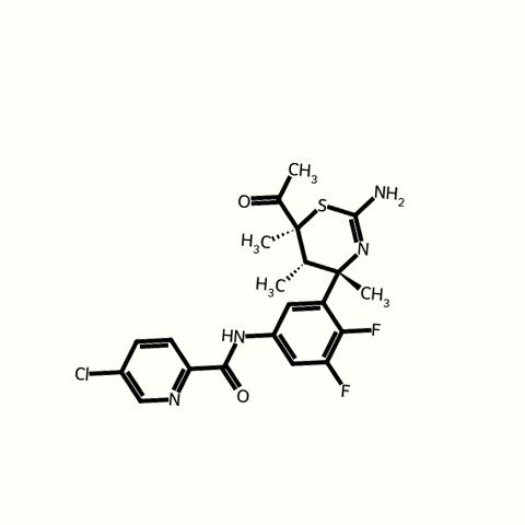 CC(=O)[C@@]1(C)SC(N)=N[C@](C)(c2cc(NC(=O)c3ccc(Cl)cn3)cc(F)c2F)[C@@H]1C